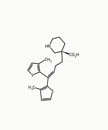 Cc1ccsc1C(=CCC[C@@]1(C(=O)O)CCCNC1)c1sccc1C